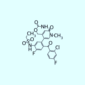 CCS(=O)(=O)Nc1cc(-c2cn(C)c(=O)cc2COC(N)=O)c(C(=O)c2ccc(F)cc2Cl)cc1F